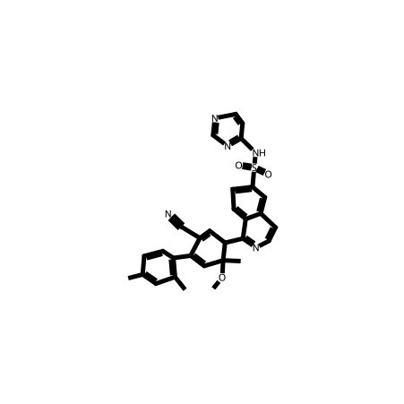 COC1(C)C=C(c2ccc(C)cc2C)C(C#N)=CC1c1nccc2cc(S(=O)(=O)Nc3ccncn3)ccc12